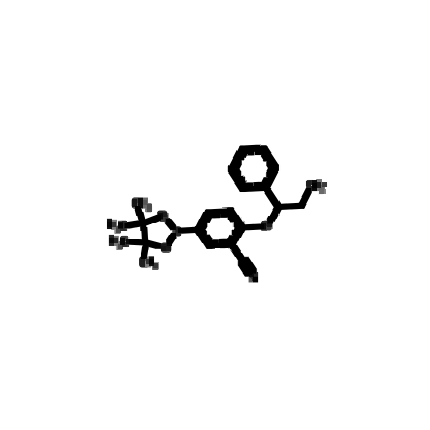 [CH2]CC(Oc1ccc(B2OC(C)(C)C(C)(C)O2)cc1C#N)c1ccccc1